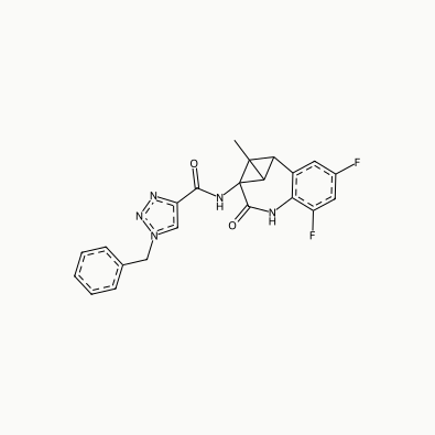 CC12C3c4cc(F)cc(F)c4NC(=O)C1(NC(=O)c1cn(Cc4ccccc4)nn1)C32